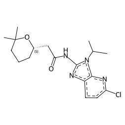 CC(C)n1c(NC(=O)C[C@@H]2CCCC(C)(C)O2)nc2ccc(Cl)nc21